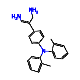 Cc1ccccc1N(c1ccc(C(=CN)CN)cc1)c1ccccc1C